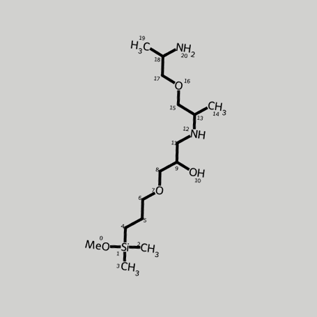 CO[Si](C)(C)CCCOCC(O)CNC(C)COCC(C)N